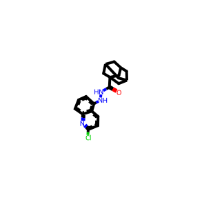 O=C(NNc1cccc2nc(Cl)ccc12)C12CC3CC(CC(C3)C1)C2